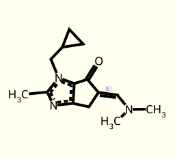 Cc1nc2c(n1CC1CC1)C(=O)/C(=C/N(C)C)C2